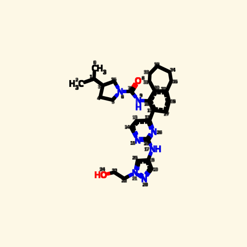 CC(C)C1CCN(C(=O)Nc2c(-c3ccnc(Nc4cnn(CCO)c4)n3)ccc3c2CCCCC3)C1